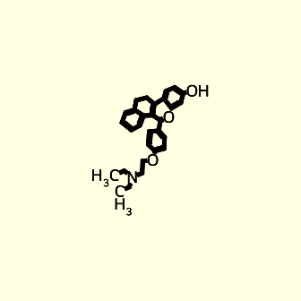 CCN(CC)CCOc1ccc(C(=O)C2=C(c3ccc(O)cc3)CCc3ccccc32)cc1